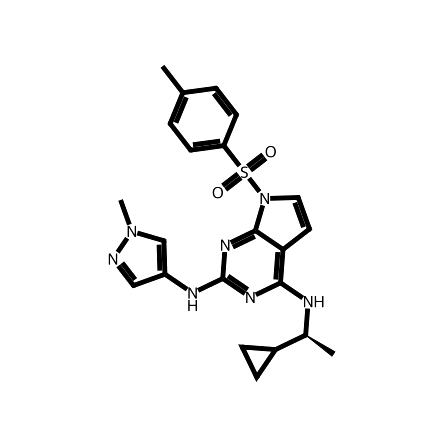 Cc1ccc(S(=O)(=O)n2ccc3c(N[C@@H](C)C4CC4)nc(Nc4cnn(C)c4)nc32)cc1